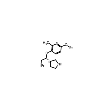 CCOc1ccc(OC(CC(C)C)[C@H]2CCNC2)c(C)n1